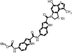 CC[C@@H]1CN(C(=O)c2cc3cc(NC(=O)c4cc5cc(NC(=O)OC(C)(C)C)ccc5[nH]4)ccc3[nH]2)c2cc(O)c3scc(C)c3c21